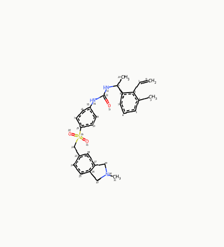 C=Cc1c(C)cccc1C(C)NC(=O)Nc1ccc(S(=O)(=O)Cc2ccc3c(c2)CN(C)C3)cc1